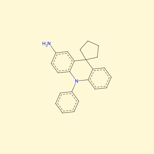 Nc1ccc2c(c1)C1(CCCC1)c1ccccc1N2c1ccccc1